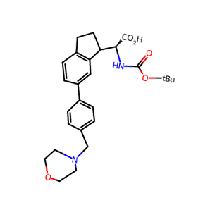 CC(C)(C)OC(=O)N[C@H](C(=O)O)C1CCc2ccc(-c3ccc(CN4CCOCC4)cc3)cc21